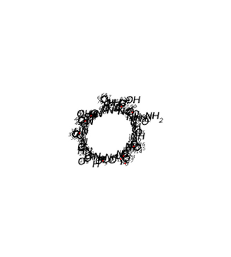 CCCC[C@H]1C(=O)N2CCC[C@@H]2C(=O)N[C@@H](COC=O)C(=O)N[C@@H](C(C)C)C(=O)N(C)[C@@H](Cc2ccccc2)C(=O)N[C@@H](Cc2ccc(O)cc2)C(=O)N2CSC[C@@H]2C(=O)N[C@@H](Cc2c[nH]c3ccccc23)C(=O)N[C@@H](Cc2ccc(O)cc2)C(=O)N[C@@H](CC(C)C)C(=O)N[C@H](C(=O)NCC(N)=O)CSCC(=O)N[C@@H](Cc2ccccc2)C(=O)N(C)[C@@H](Cc2ccccc2)C(=O)N1C